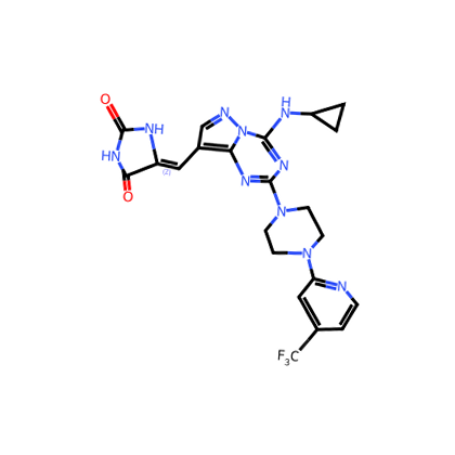 O=C1NC(=O)/C(=C/c2cnn3c(NC4CC4)nc(N4CCN(c5cc(C(F)(F)F)ccn5)CC4)nc23)N1